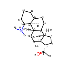 CC(=O)[C@H]1CC[C@H]2[C@@H]3CCC4CCCC(N(C)C)[C@]4(C)[C@H]3CC[C@]12C